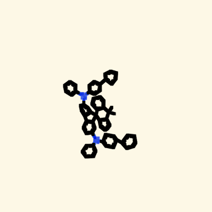 CC1(C)c2ccccc2C2(c3cc(N(c4ccccc4)c4ccc(-c5ccccc5)cc4)ccc3-c3ccc(N(c4ccccc4)c4ccc(-c5ccccc5)cc4)cc32)c2ccccc21